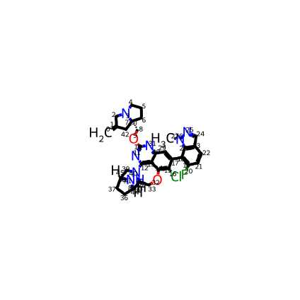 C=C1CN2CCC[C@@]2(COc2nc3c4c(c(Cl)c(-c5c(F)ccc6cnn(C)c56)cc4n2)OC[C@@H]2[C@@H]4CC[C@H](CN32)N4)C1